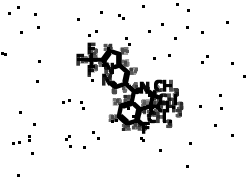 CC1(C)N=C(c2cnn3c(C(F)(F)F)ccc3c2)c2cccc(F)c2C1(C)C